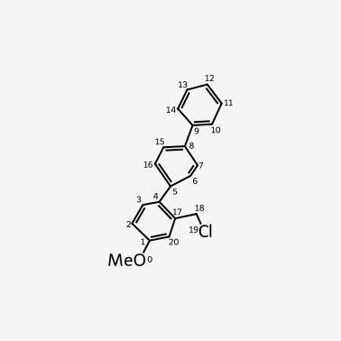 COc1ccc(-c2ccc(-c3ccccc3)cc2)c(CCl)c1